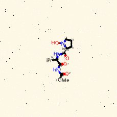 COC(=O)NC(=O)C(NC(=O)[C@@H]1CCCN1O)C(C)C